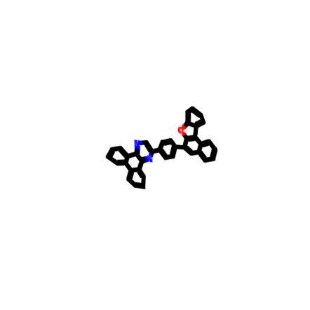 c1ccc2c(c1)cc(-c1ccc(-c3cnc4c5ccccc5c5ccccc5c4n3)cc1)c1oc3ccccc3c12